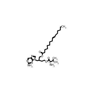 CCCCCCC=CCCCCCCCC(=O)OCC(CCOC(=O)[C@@H](N)C(C)C)Cn1cnc2cnc(N)nc21